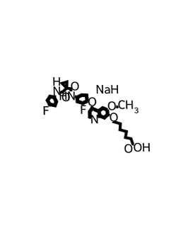 CCOc1cc2c(Oc3ccc(NC(=O)C4(C(=O)Nc5ccc(F)cc5)CC4)cc3F)ccnc2cc1OCCCCCCC(=O)O.[NaH]